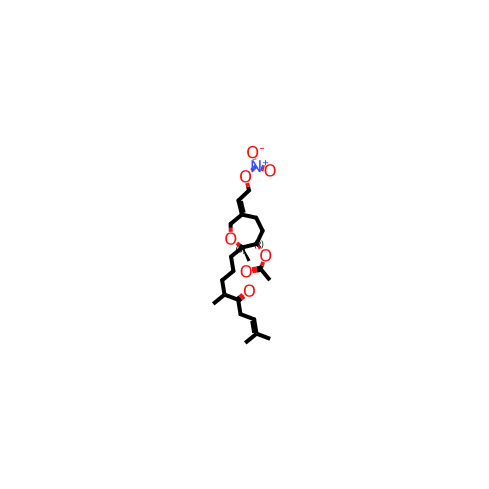 CC(=O)O[C@@H]1CCC(=CCO[N+](=O)[O-])CO[C@@]1(C)CCCC(C)C(=O)CC=C(C)C